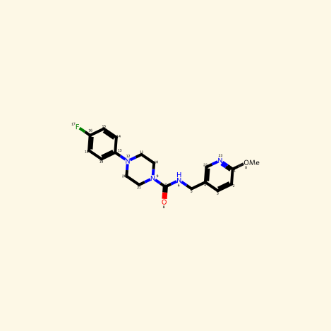 COc1ccc(CNC(=O)N2CCN(c3ccc(F)cc3)CC2)cn1